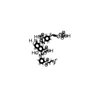 CN(C)CCS(=O)(=O)c1cccc(N=Nc2c(S(=O)(=O)O)cc3c(N=Nc4ccc(SC#COOS(=O)(=O)O)cc4S(=O)(=O)O)c(N)ccc3c2O)c1